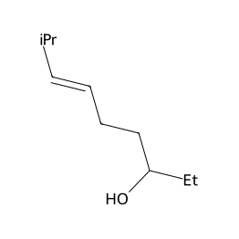 CCC(O)CCC=CC(C)C